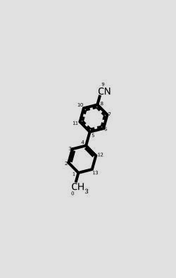 CC1C=CC(c2ccc(C#N)cc2)=CC1